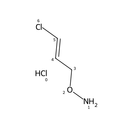 Cl.NOC/C=C/Cl